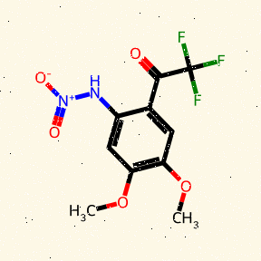 COc1cc(N[N+](=O)[O-])c(C(=O)C(F)(F)F)cc1OC